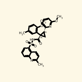 COc1cccc([C@@H]2C[C@]2(C(=O)NS(=O)(=O)c2cccc3nc(C)ccc23)c2cc(C)ccc2OC)n1